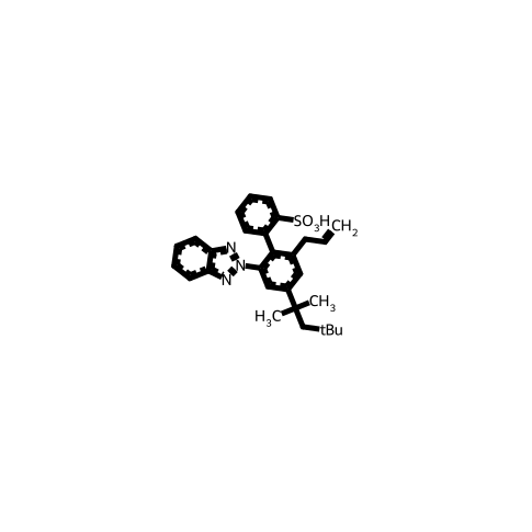 C=CCc1cc(C(C)(C)CC(C)(C)C)cc(-n2nc3ccccc3n2)c1-c1ccccc1S(=O)(=O)O